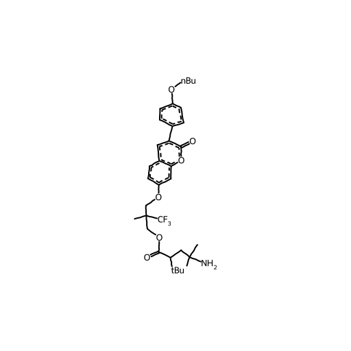 CCCCOc1ccc(-c2cc3ccc(OCC(C)(COC(=O)C(CC(C)(C)N)C(C)(C)C)C(F)(F)F)cc3oc2=O)cc1